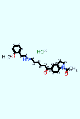 COc1ccccc1CCNCCCCCC(=O)c1ccc2c(c1)CCN2C(C)=O.Cl